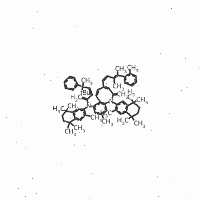 C=C(/C=C\C(C)(c1ccccc1)C(C)(C)C)N(c1cc2c(cc1C)C(C)(C)CCC2(C)C)c1cc(C)cc2c1\C=C/C(/C=C\C(C)=C(/C)c1ccccc1C)=C\C(=C)N2c1cc2c(cc1C)C(C)(C)CCC2(C)C